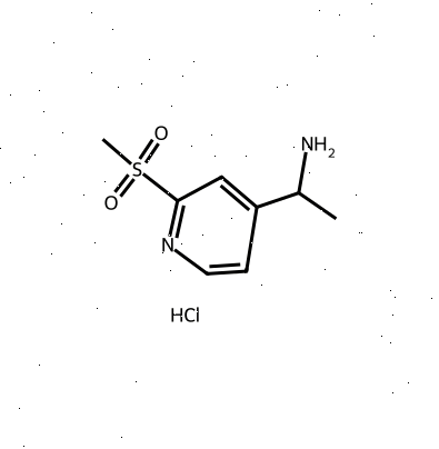 CC(N)c1ccnc(S(C)(=O)=O)c1.Cl